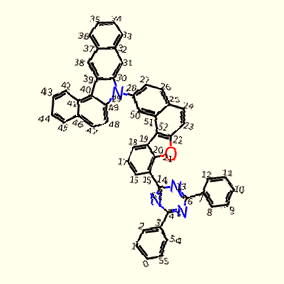 c1ccc(-c2nc(-c3ccccc3)nc(-c3cccc4c3oc3ccc5ccc(-n6c7cc8ccccc8cc7c7c8ccccc8ccc76)cc5c34)n2)cc1